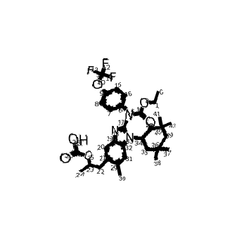 CCOC(=O)N(c1ccc(OC(F)(F)F)cc1)c1nc2cc(CC(C)OC(=O)O)c(C)cc2n1C1CC(C)(C)CC(C)(C)C1